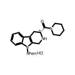 CCCCCn1c2c(c3ccccc31)C[C@H](C(=O)N1CCCCC1)NC2.Cl